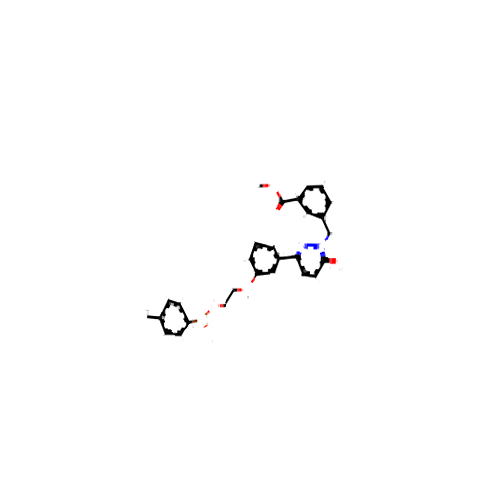 COC(=O)c1cccc(Cn2nc(-c3cccc(OCCOS(=O)c4ccc(C)cc4)c3)ccc2=O)c1